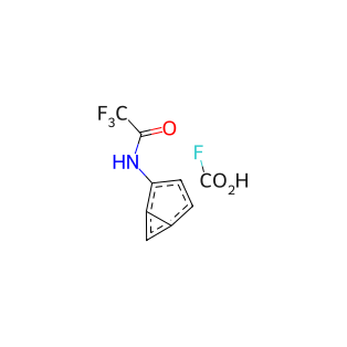 O=C(Nc1ccc2cc1-2)C(F)(F)F.O=C(O)F